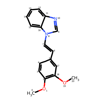 COc1ccc(C=Cn2cnc3ccccc32)cc1OC